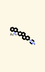 CC(=O)N(C)c1c(C2CCc3c(ccc4c3ccc3cc(N5CCN(C)CC5)ccc34)C2)ccc2ccccc12